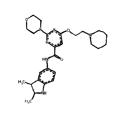 CC1Nc2ccc(NC(=O)c3cc(OCCN4CCCCC4)nc(N4CCOCC4)n3)cc2C1C